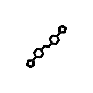 C(=CN1CCC(n2cccc2)CC1)N1CCC(n2cccc2)CC1